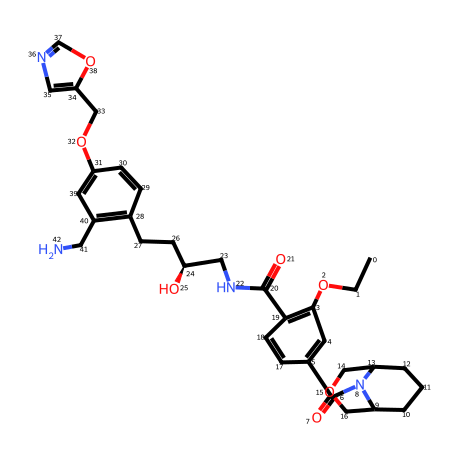 CCOc1cc(C(=O)N2C3CCCC2COC3)ccc1C(=O)NC[C@@H](O)CCc1ccc(OCc2cnco2)cc1CN